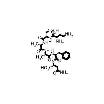 C[C@H](NC(=O)[C@H](C)NC(=O)[C@H](CC(=O)O)NC(=O)[C@@H](N)CCN)C(=O)N[C@@H](Cc1ccccc1)C(=O)N[C@@H](CC(N)=O)C(=O)O